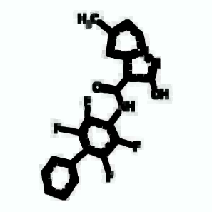 Cc1ccn2nc(O)c(C(=O)Nc3c(F)c(F)c(-c4ccccc4)c(F)c3F)c2c1